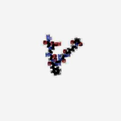 NC(=O)CCN(CCNC(=O)CNC(=O)C(Cc1ccccc1)NC(=O)CNC(=O)CNC(=O)CCCCCN1C(=O)C=CC1=O)CC(=O)O